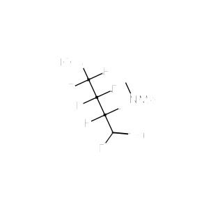 CCCC(F)C(F)(F)C(F)(F)C(F)(F)S(=O)(=O)O.CNC